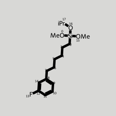 CO[Si](CCCCCCc1cccc(F)c1)(OC)OC(C)C